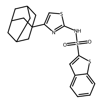 O=S(=O)(Nc1nc(C23CC4CC(CC(C4)C2)C3)cs1)c1cc2ccccc2s1